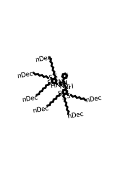 CCCCCCCCCCCCCCCCCCSc1cc(Nc2nc(Nc3cc(SCCCCCCCCCCCCCCCCCC)c(SCCCCCCCCCCCCCCCCCC)c(SCCCCCCCCCCCCCCCCCC)c3)nc(-c3cc[c]cc3)n2)cc(SCCCCCCCCCCCCCCCCCC)c1SCCCCCCCCCCCCCCCCCC